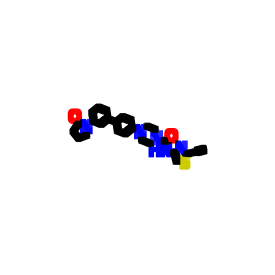 C#Cc1nc(NC(=O)N2CCN(c3ccc(-c4cccc(N5CCCC5=O)c4)cc3)CC2)cs1